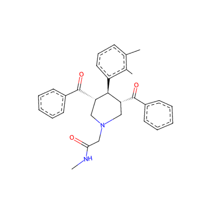 CNC(=O)CN1C[C@H](C(=O)c2ccccc2)[C@@H](c2cccc(C)c2C)[C@H](C(=O)c2ccccc2)C1